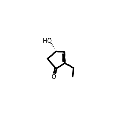 CCC1=C[C@@H](O)CC1=O